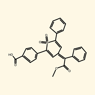 COC(=O)/C(=C1/C=C(c2ccccc2)S(=O)(=O)C(c2ccc(C(=O)O)cc2)=C1)c1ccccc1